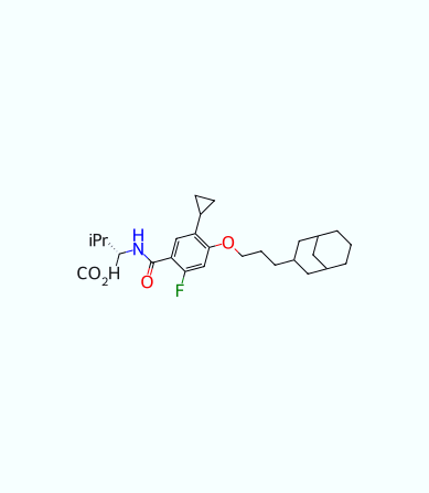 CC(C)[C@H](NC(=O)c1cc(C2CC2)c(OCCCC2CC3CCCC(C2)C3)cc1F)C(=O)O